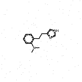 CN(C)c1ccccc1CCc1c[nH]cn1